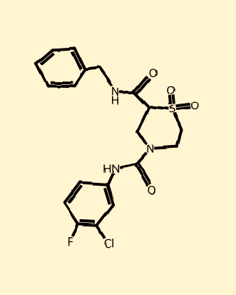 O=C(NCc1ccccc1)C1CN(C(=O)Nc2ccc(F)c(Cl)c2)CCS1(=O)=O